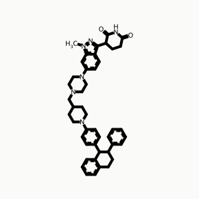 Cn1nc(C2CCC(=O)NC2=O)c2ccc(N3CCN(CC4CCN(c5ccc(C6c7ccccc7CCC6c6ccccc6)cc5)CC4)CC3)cc21